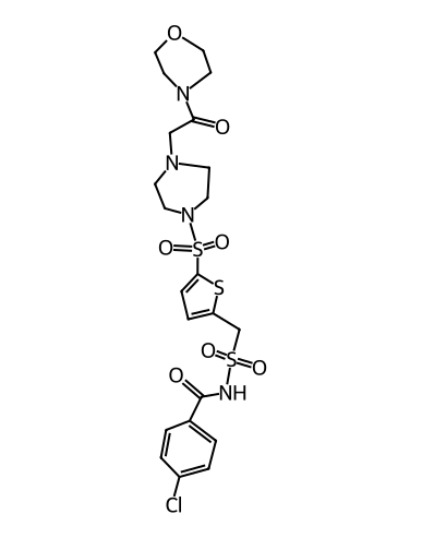 O=C(NS(=O)(=O)Cc1ccc(S(=O)(=O)N2CCN(CC(=O)N3CCOCC3)CC2)s1)c1ccc(Cl)cc1